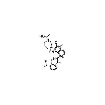 CC(O)N1CCCC(C#N)(c2cc3c(N[C@H](C)c4cccc(C(F)F)c4F)ncnc3n(C)c2=O)CC1